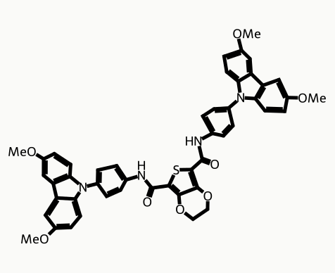 COc1ccc2c(c1)c1cc(OC)ccc1n2-c1ccc(NC(=O)c2sc(C(=O)Nc3ccc(-n4c5ccc(OC)cc5c5cc(OC)ccc54)cc3)c3c2OCCO3)cc1